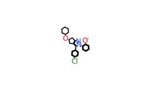 COc1ccccc1-n1nc2c(c1-c1ccc(Cl)cc1)C[C@H](OC1CCCCC1)C2